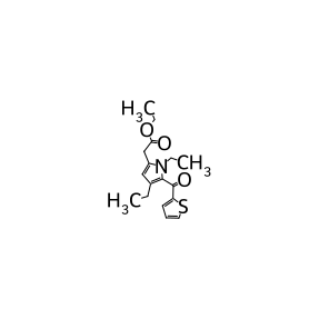 CCOC(=O)Cc1cc(CC)c(C(=O)c2cccs2)n1CC